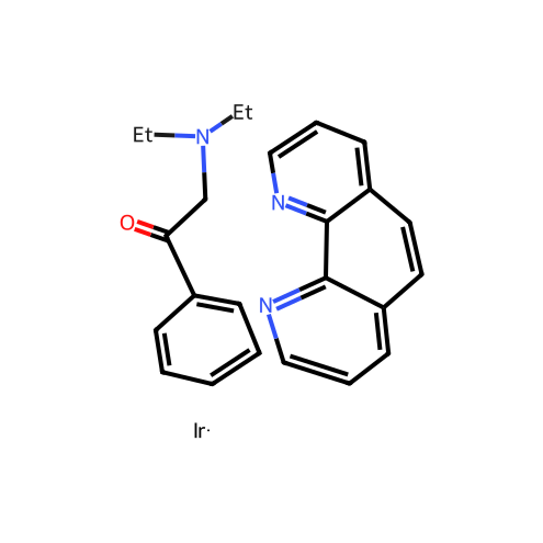 CCN(CC)CC(=O)c1ccccc1.[Ir].c1cnc2c(c1)ccc1cccnc12